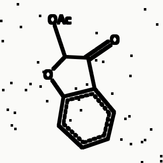 CC(=O)OC1Oc2ccccc2C1=O